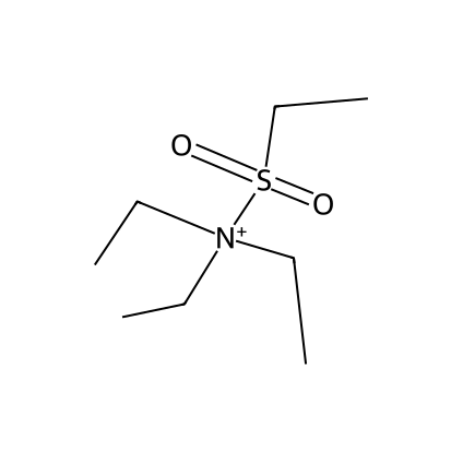 CC[N+](CC)(CC)S(=O)(=O)CC